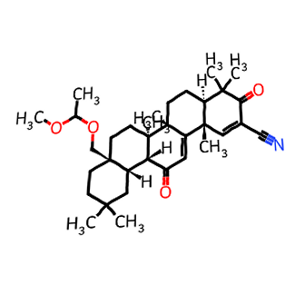 COC(C)OC[C@]12CCC(C)(C)C[C@H]1[C@H]1C(=O)C=C3[C@@]4(C)C=C(C#N)C(=O)C(C)(C)[C@@H]4CC[C@@]3(C)[C@]1(C)CC2